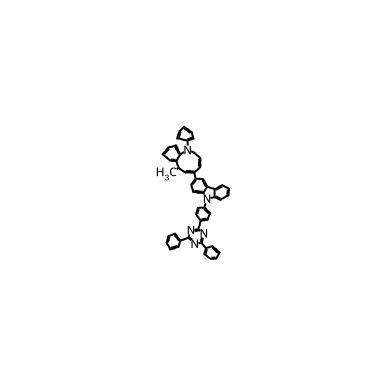 CC1/C=C(c2ccc3c(c2)c2ccccc2n3-c2ccc(-c3nc(-c4ccccc4)nc(-c4ccccc4)n3)cc2)\C=C/CN(c2ccccc2)c2ccccc21